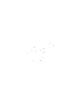 CCC(=O)Nc1nc2c(s1)-c1c(c(-c3cccnc3)nn1-c1ccc(C3(N(C)C)CC3)cc1)CC2